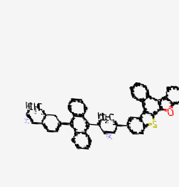 C=C(/C=C\C(=C)c1c2ccccc2c(C2=CC=C(/C=C\C)C(C)C2)c2ccccc12)c1ccc2sc3c4oc5ccccc5c4c4ccccc4c3c2c1